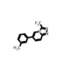 Cc1cccc(-c2ccc3nnc(C(F)(F)F)n3c2)c1